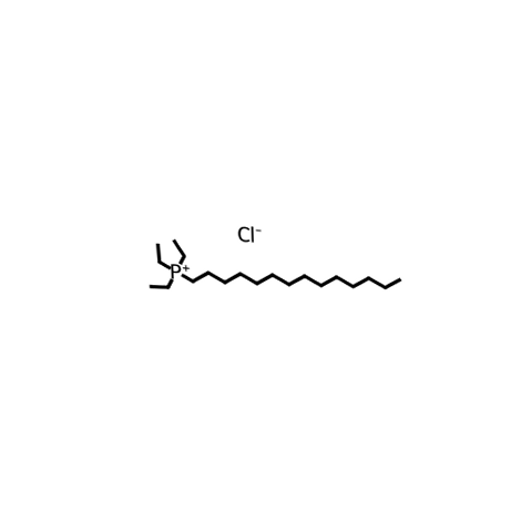 CCCCCCCCCCCCCC[P+](CC)(CC)CC.[Cl-]